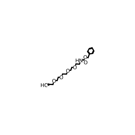 C#CCOCCOCCOCCOCCNC(=O)OCc1ccccc1